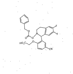 N#Cc1ccc(OCC(=O)O)c(C2c3cc(F)c(F)cc3CCN2OC(=O)OCc2ccccc2)c1